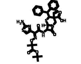 C=CC1(C(=O)O)CN2C(=O)C(NC(=O)C(=NOC(C)(C)C(=O)OC(C)(C)C)c3csc(N)n3)[C@H]2SC1C(c1ccccc1)c1ccccc1